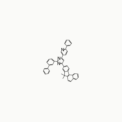 CC1(C)c2cc(-c3cc(-c4ccc(-c5ccccc5)nc4)nc(-c4cccc(-c5ccccc5)c4)n3)ccc2-c2c1ccc1ccccc21